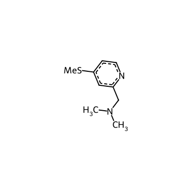 CSc1ccnc(CN(C)C)c1